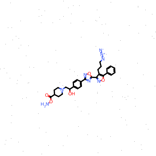 [N-]=[N+]=NCCCc1c(-c2nc(-c3ccc(C(O)CN4CCC(C(=O)ON)CC4)cc3)no2)noc1-c1ccccc1